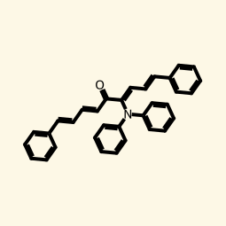 O=C(C=CC=Cc1ccccc1)C(=CC=Cc1ccccc1)N(c1ccccc1)c1ccccc1